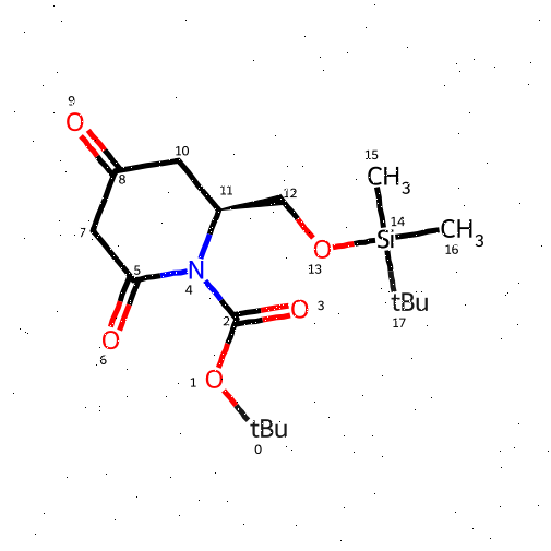 CC(C)(C)OC(=O)N1C(=O)CC(=O)C[C@H]1CO[Si](C)(C)C(C)(C)C